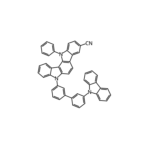 N#Cc1ccc2c(c1)c1ccc3c(c4ccccc4n3-c3cccc(-c4cccc(-n5c6ccccc6c6ccccc65)c4)c3)c1n2-c1ccccc1